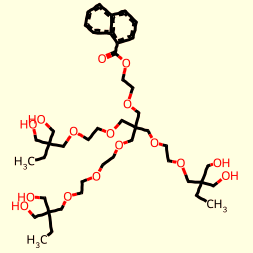 CCC(CO)(CO)COCCOCCOCC(COCCOCC(CC)(CO)CO)(COCCOCC(CC)(CO)CO)COCCOC(=O)c1cccc2ccccc12